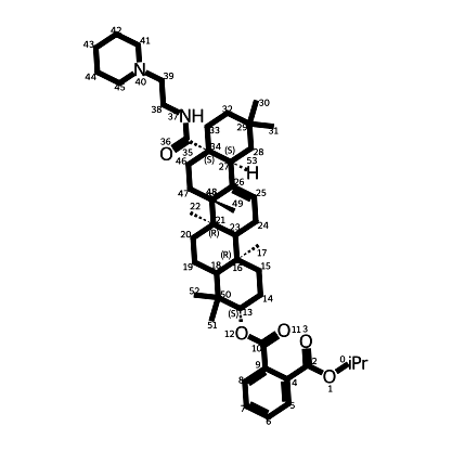 CC(C)OC(=O)c1ccccc1C(=O)O[C@H]1CC[C@@]2(C)C(CC[C@]3(C)C2CC=C2[C@@H]4CC(C)(C)CC[C@]4(C(=O)NCCN4CCCCC4)CC[C@]23C)C1(C)C